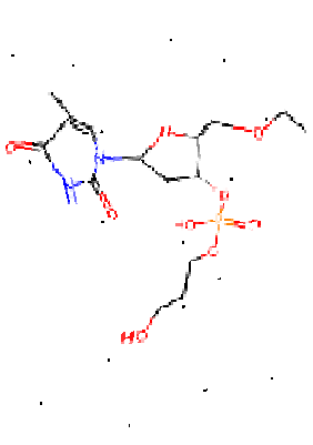 CCOCC1OC(n2cc(C)c(=O)[nH]c2=O)C[C@H]1OP(=O)(O)OCCCO